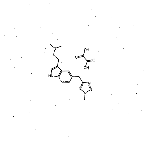 CN(C)CCc1c[nH]c2ccc(Cc3nnn(C)n3)cc12.O=C(O)C(=O)O